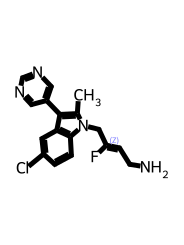 Cc1c(-c2cncnc2)c2cc(Cl)ccc2n1C/C(F)=C/CN